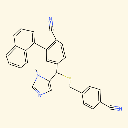 Cn1cncc1C(SCc1ccc(C#N)cc1)c1ccc(C#N)c(-c2cccc3ccccc23)c1